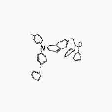 Cc1ccc(N(c2ccc(-c3ccccc3)cc2)c2ccc3cc(C=C4C(=O)c5ccccc5C4=O)ccc3c2)cc1